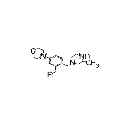 C[C@H]1CN(Cc2ccc(N3CCOCC3)cc2CF)CCN1